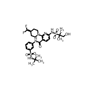 CC(C)(C)NS(=O)(=O)c1cccc(NC(=O)c2ccc(NS(=O)(=O)C(C)(C)CO)nc2N2CCC(=C(F)F)CC2)c1